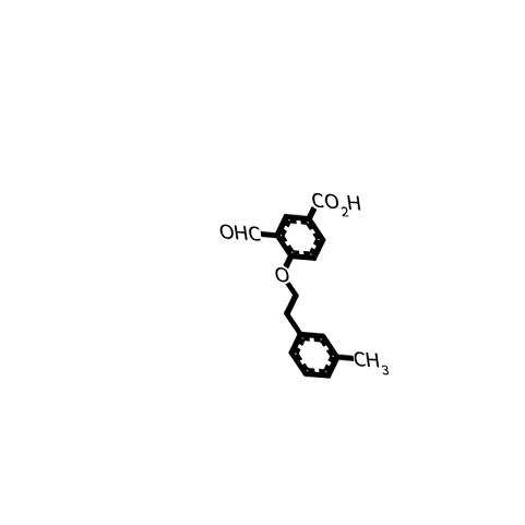 Cc1cccc(CCOc2ccc(C(=O)O)cc2C=O)c1